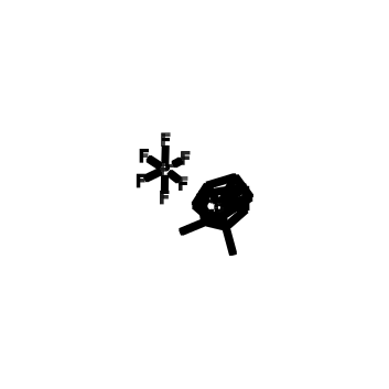 C[C]12[CH]3[CH]4[CH]5[C]1(C)[Co]43521678[CH]2[CH]1[CH]6[CH]7[CH]28.F[P-](F)(F)(F)(F)F